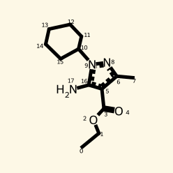 CCOC(=O)c1c(C)nn(C2CCCCC2)c1N